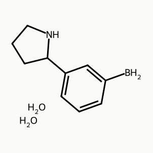 Bc1cccc(C2CCCN2)c1.O.O